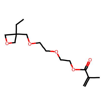 C=C(C)C(=O)OCCOCCOCC1(CC)COC1